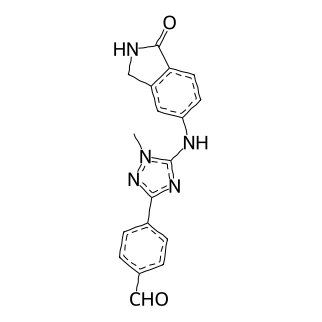 Cn1nc(-c2ccc(C=O)cc2)nc1Nc1ccc2c(c1)CNC2=O